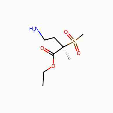 CCOC(=O)[C@@](C)(CCN)S(C)(=O)=O